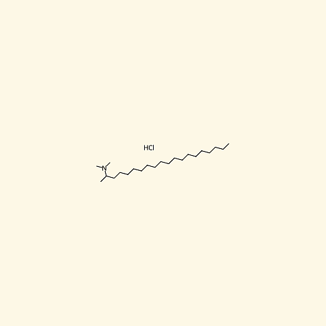 CCCCCCCCCCCCCCCCCCC(C)N(C)C.Cl